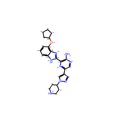 Nc1ncc(-c2cnn(C3CCNCC3)c2)nc1-c1nc2c(OC3CCCC3)cccc2[nH]1